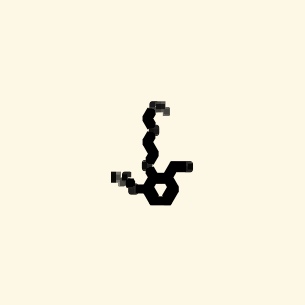 CCOCCOc1c(C=O)cccc1OC